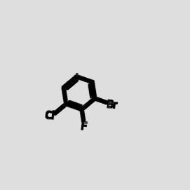 Fc1c(Cl)c[c]cc1Br